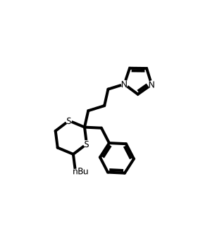 CCCCC1CCSC(CCCn2ccnc2)(Cc2ccccc2)S1